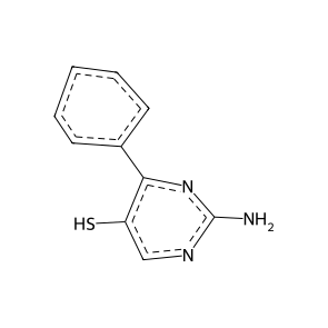 Nc1ncc(S)c(-c2ccccc2)n1